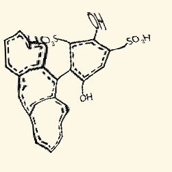 O=S(=O)(O)c1cc(O)c(-c2c3ccccc3cc3ccccc23)c(S(=O)(=O)O)c1O